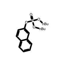 CCCCOP(=O)(OCCCC)Oc1ccc2ccccc2c1